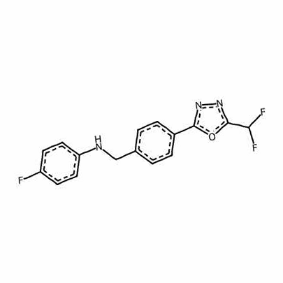 Fc1ccc(NCc2ccc(-c3nnc(C(F)F)o3)cc2)cc1